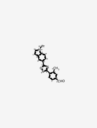 Cc1cc(C=O)ccc1-c1noc(-c2ccc3c(ccn3C(C)C)c2)n1